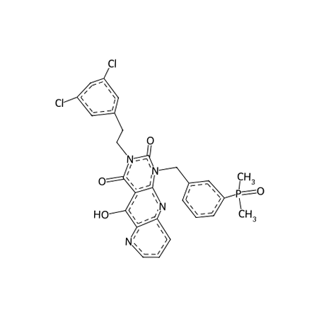 CP(C)(=O)c1cccc(Cn2c(=O)n(CCc3cc(Cl)cc(Cl)c3)c(=O)c3c(O)c4ncccc4nc32)c1